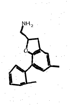 Cc1cc2c(c(-c3ccccc3C)c1)OC(CN)C2